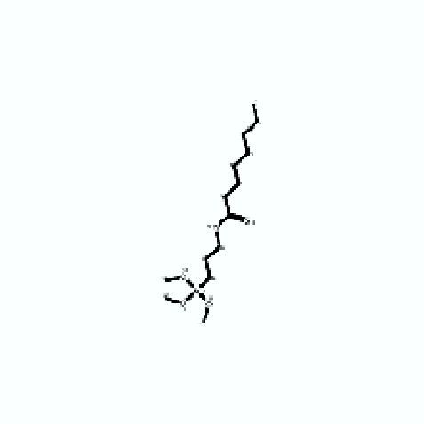 CCCCCCCC(=S)OCCC[Si](OC)(OC)OC